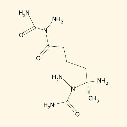 C[C@@](N)(CCCC(=O)N(N)C(N)=O)N(N)C(N)=O